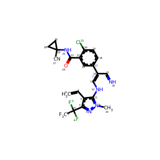 C=Cc1c(C(F)(F)C(F)(F)F)nn(C)c1N/C=C(\C=N)c1ccc(Cl)c(C(=O)NC2(C#N)CC2)c1